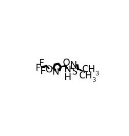 CC(C)c1cnc(NC(=O)c2ccc(OCC(F)(F)F)nc2)s1